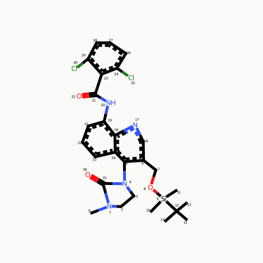 CN1CCN(c2c(CO[Si](C)(C)C(C)(C)C)cnc3c(NC(=O)c4c(Cl)cccc4Cl)cccc23)C1=O